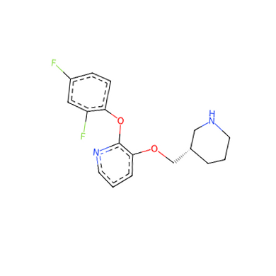 Fc1ccc(Oc2ncccc2OC[C@H]2CCCNC2)c(F)c1